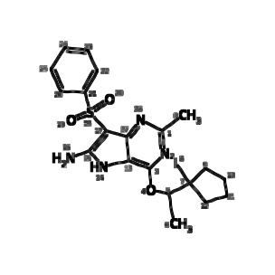 Cc1nc(OC(C)C2(I)CCCC2)c2[nH]c(N)c(S(=O)(=O)c3ccccc3)c2n1